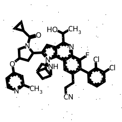 Cc1cc(OC2CC(c3cc4c(C(C)O)nc5c(F)c(-c6cccc(Cl)c6Cl)c(CCC#N)cc5c4n3C3C4CNC3C4)N(C(=O)C3CC3)C2)ccn1